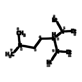 CCN(CC)[SiH](CCN(C)C)N(CC)CC